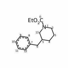 CCOC(=O)N1CCCC(Cc2ccccc2)C1